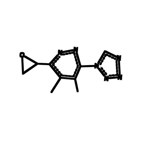 Cc1c(C2CO2)nnc(-n2cnnn2)c1C